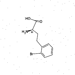 N[C@H](CCc1ccccc1Br)C(=O)O